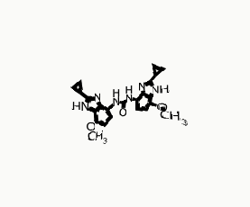 COc1ccc(NC(=O)Nc2ccc(OC)c3[nH]c(C4CC4)nc23)c2nc(C3CC3)[nH]c12